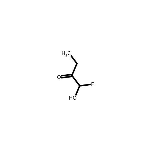 CCC(=O)C(O)F